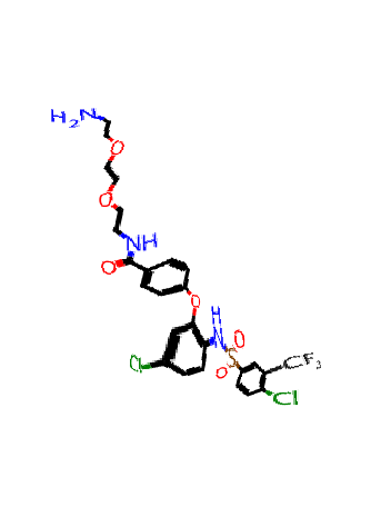 NCCOCCOCCNC(=O)c1ccc(Oc2cc(Cl)ccc2NS(=O)(=O)c2ccc(Cl)c(C(F)(F)F)c2)cc1